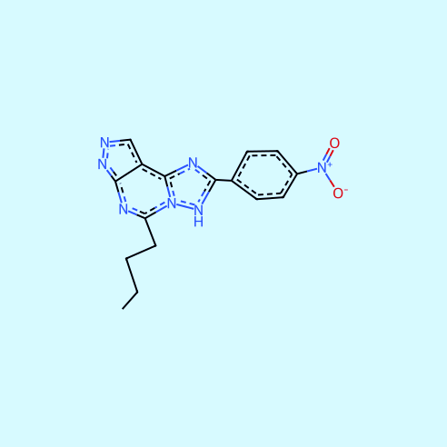 CCCCc1nc2nncc-2c2nc(-c3ccc([N+](=O)[O-])cc3)[nH]n12